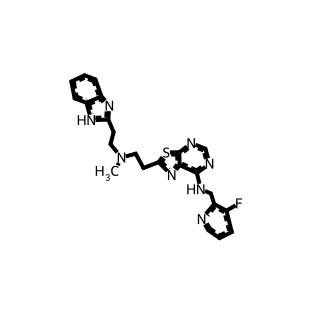 CN(CCc1nc2ccccc2[nH]1)CCc1nc2c(NCc3ncccc3F)ncnc2s1